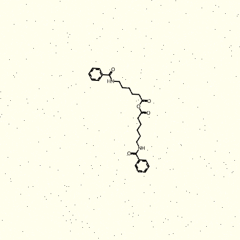 O=C(CCCCCNC(=O)c1ccccc1)OC(=O)CCCCCNC(=O)c1ccccc1